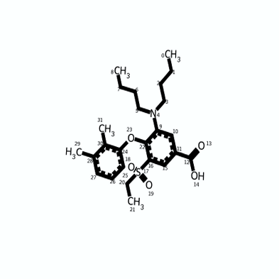 CCCCN(CCCC)c1cc(C(=O)O)cc(S(=O)(=O)CC)c1Oc1cccc(C)c1C